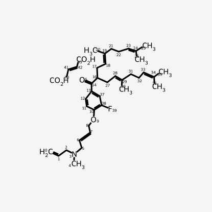 C=CCN(C)C/C=C/COc1ccc(C(=O)C(C/C=C(\C)CCC=C(C)C)C/C=C(\C)CCC=C(C)C)cc1F.O=C(O)/C=C/C(=O)O